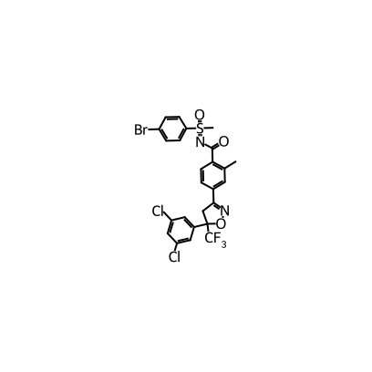 Cc1cc(C2=NOC(c3cc(Cl)cc(Cl)c3)(C(F)(F)F)C2)ccc1C(=O)N=S(C)(=O)c1ccc(Br)cc1